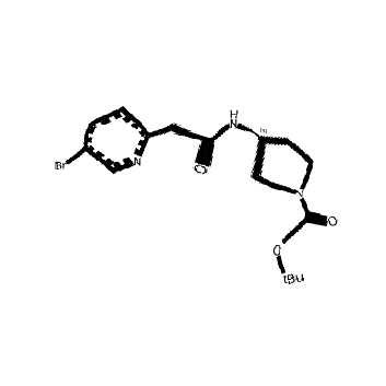 CC(C)(C)OC(=O)N1CC[C@H](NC(=O)Cc2ccc(Br)cn2)C1